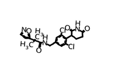 CC(C)(C(=O)NCc1cc(Cl)c(C2CCC(=O)NC2=O)c(Cl)c1)c1ccno1